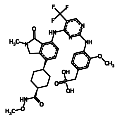 CONC(=O)[C@H]1CC[C@@H](c2ccc(Nc3nc(Nc4ccc(CP(=O)(O)O)cc4OC)ncc3C(F)(F)F)c3c2CN(C)C3=O)CC1